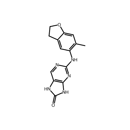 Cc1cc2c(cc1Nc1ncc3[nH]c(=O)[nH]c3n1)CCO2